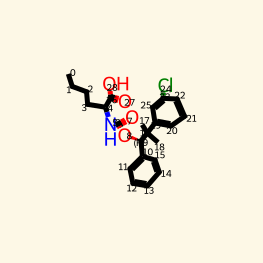 CCCCC(NC(=O)O[C@H](c1ccccc1)C(C)(C)c1cccc(Cl)c1)C(=O)O